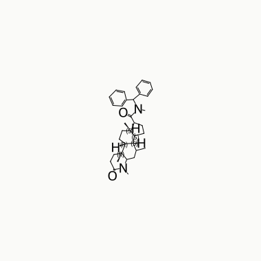 CC1CC2N(C)C(=O)CC[C@]2(C)[C@@H]2CC[C@]3(C)C(C(=O)N(C)C(c4ccccc4)c4ccccc4)CC[C@H]3[C@H]12